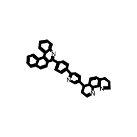 C1=CC2C(N=CCC2c2ccc(-c3ccc(-c4nc5ccccc5c5c4ccc4ccccc45)cc3)nc2)C2=C1CCC=N2